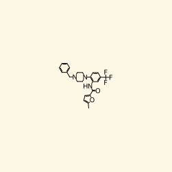 Cc1ccc(C(=O)Nc2cc(C(F)(F)F)ccc2N2CCN(Cc3ccccc3)CC2)o1